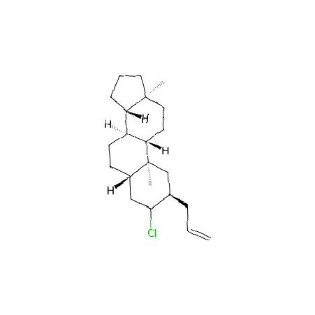 C=CC[C@@H]1C[C@@]2(C)[C@@H](CC[C@H]3[C@@H]4CCC[C@@]4(C)CC[C@@H]32)CC1Cl